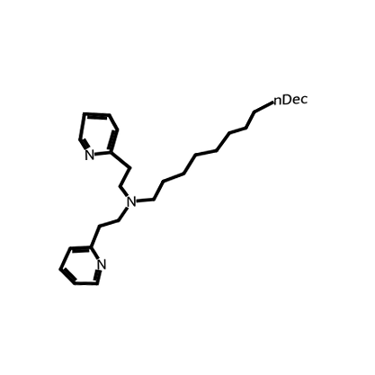 CCCCCCCCCCCCCCCCCCN(CCc1ccccn1)CCc1ccccn1